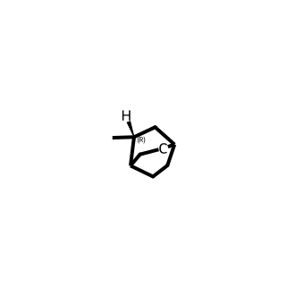 C[C@@H]1CC2CCC1CC2